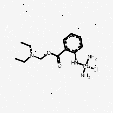 CCN(CC)COC(=O)c1ccccc1[NH][Pt]([NH2])([NH2])[Cl]